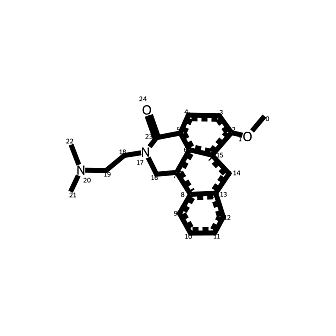 COc1ccc2c3c(c4ccccc4cc13)CN(CCN(C)C)C2=O